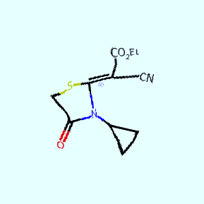 CCOC(=O)/C(C#N)=C1\SCC(=O)N1C1CC1